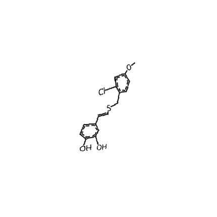 COc1ccc(CSC=Cc2ccc(O)c(O)c2)c(Cl)c1